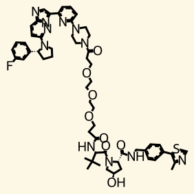 Cc1ncsc1-c1ccc(CNC(=O)[C@@H]2C[C@@H](O)CN2C(=O)[C@@H](NC(=O)CCOCCOCCOCCC(=O)N2CCN(c3cccc(-c4cnc5ccc(N6CCC[C@@H]6c6cccc(F)c6)nn45)n3)CC2)C(C)(C)C)cc1